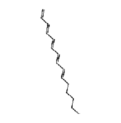 [CH2]CCCC/C=C/C=C/C=C/C=C/C=C